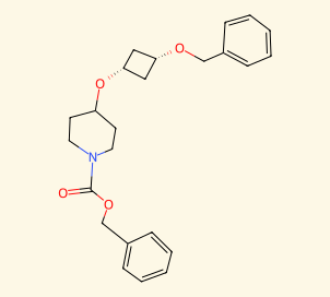 O=C(OCc1ccccc1)N1CCC(O[C@H]2C[C@@H](OCc3ccccc3)C2)CC1